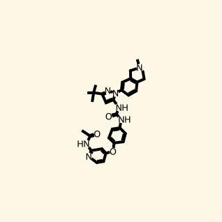 CC(=O)Nc1cc(Oc2ccc(NC(=O)Nc3cc(C(C)(C)C)nn3-c3ccc4c(c3)CN(C)CC4)cc2)ccn1